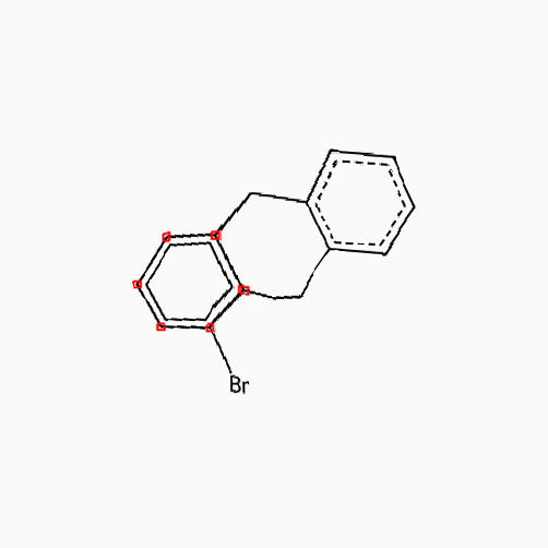 Brc1cccc2c1C1c3ccccc3C2c2ccccc21